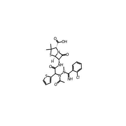 CC(=O)N(C(C(=O)N[C@@H]1C(=O)N2[C@@H]1SC(C)(C)[C@@H]2C(=O)O)c1cccs1)N(C)C(=N)c1ccccc1Cl